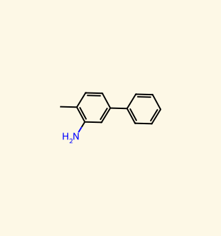 Cc1ccc(-c2ccccc2)cc1N